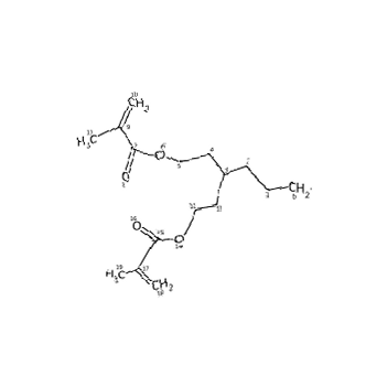 [CH2]CC[C](CCOC(=O)C(=C)C)CCOC(=O)C(=C)C